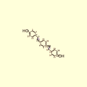 Oc1ccc(/C=N/c2ccc(/N=C/c3ccc(O)cc3)cc2)cc1